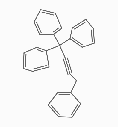 C(#CC(c1ccccc1)(c1ccccc1)c1ccccc1)Cc1ccccc1